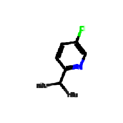 CCCCC(CCCC)c1ccc(Cl)cn1